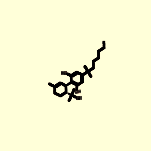 CCCCCCC(C)(C)c1cc(O)c([C@@H]2C=C(C)CC[C@H]2C(C)(C)O)c(O)c1